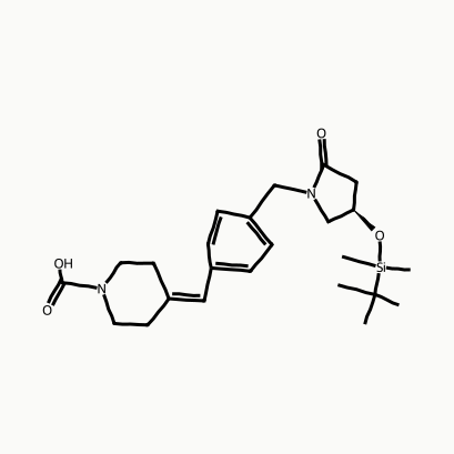 CC(C)(C)[Si](C)(C)O[C@@H]1CC(=O)N(Cc2ccc(C=C3CCN(C(=O)O)CC3)cc2)C1